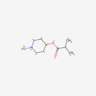 CC(C)C(=O)OC1CCN(S)CC1